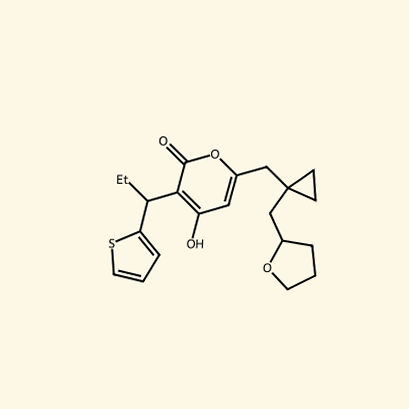 CCC(c1cccs1)c1c(O)cc(CC2(CC3CCCO3)CC2)oc1=O